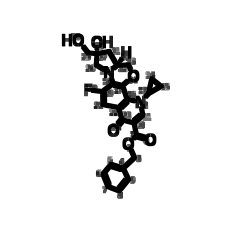 O=C(OCc1ccccc1)c1cn(C2CC2)c2c3c(c(F)cc2c1=O)N1C[C@](O)(CO)C[C@@H]1CO3